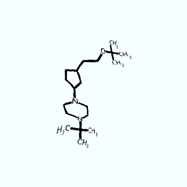 CC(C)(C)OCCC1CCC(N2CCN(C(C)(C)C)CC2)C1